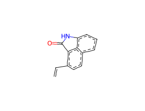 C=Cc1ccc2cccc3c2c1C(=O)N3